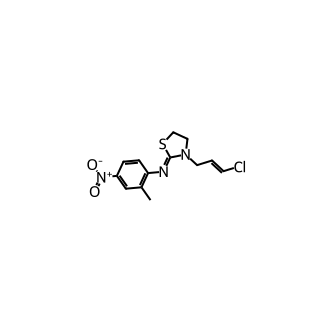 Cc1cc([N+](=O)[O-])ccc1N=C1SCCN1CC=CCl